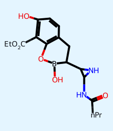 CCCC(=O)NC1NC1C1Cc2ccc(O)c(C(=O)OCC)c2OB1O